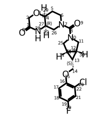 O=C1CO[C@H]2CCN(C(=O)N3C[C@@H]4[C@H](COc5ccc(F)cc5Cl)[C@@H]4C3)C[C@H]2N1